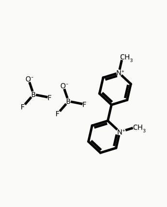 C[n+]1ccc(-c2cccc[n+]2C)cc1.[O-]B(F)F.[O-]B(F)F